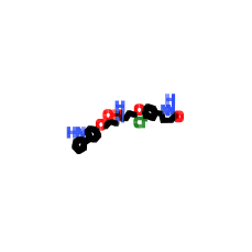 O=C1CCC(c2ccc(OCCCNCC(O)COc3ccc4c(c3)[nH]c3ccccc34)c(Cl)c2)=NN1